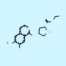 CCOC(=O)[C@@H]1C[C@@H](Oc2nccc3cc(OC)c(Br)cc23)CN1